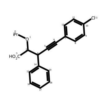 CC(C)OC(C(=O)O)C(C#Cc1ccc(Cl)cc1)c1ccccc1